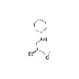 CC[C@@H](CNC1CCCCC1)[C@@H]1CO1